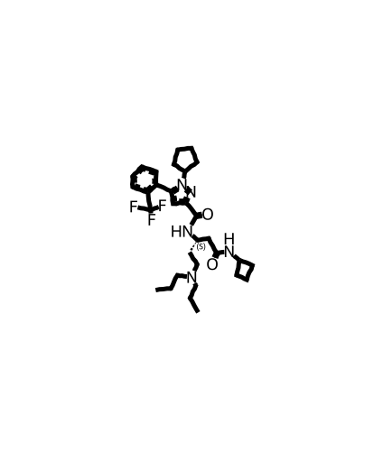 CCCN(CCC)CC[C@@H](CC(=O)NC1CCC1)NC(=O)c1cc(-c2ccccc2C(F)(F)F)n(C2CCCC2)n1